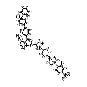 N#Cc1cnn2cc(-c3cnn(C4CCC(N5CCC(c6ccc([N+](=O)[O-])cc6F)CC5)CC4)c3)nc(-c3ccc(N4CCC5(CC4)OCc4cccnc45)nc3)c12